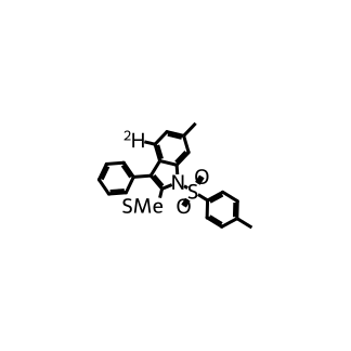 [2H]c1cc(C)cc2c1c(-c1ccccc1)c(SC)n2S(=O)(=O)c1ccc(C)cc1